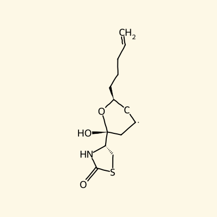 C=CCCC[C@H]1C[CH]C[C@](O)([C@@H]2CSC(=O)N2)O1